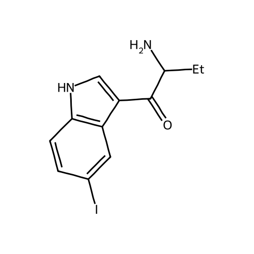 CCC(N)C(=O)c1c[nH]c2ccc(I)cc12